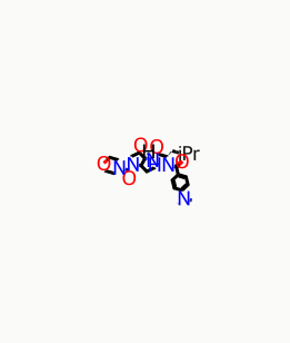 CC(C)C[C@H](NC(=O)c1ccc(N(C)C)cc1)C(=O)N1CCC2[C@H]1C(=O)CN2C(=O)N1CCOCC1